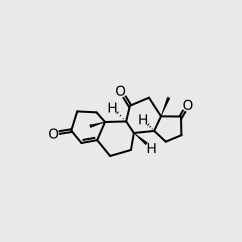 C[C@]12CCC(=O)C=C1CC[C@@H]1[C@@H]2C(=O)C[C@]2(C)C(=O)CC[C@@H]12